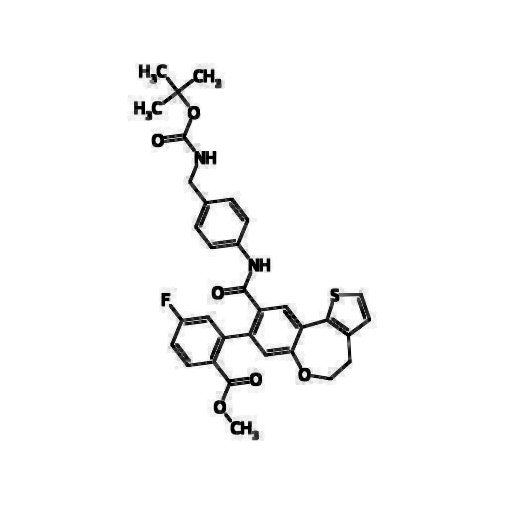 COC(=O)c1ccc(F)cc1-c1cc2c(cc1C(=O)Nc1ccc(CNC(=O)OC(C)(C)C)cc1)-c1sccc1CCO2